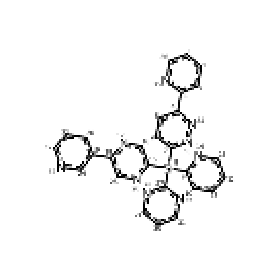 c1ccc(-c2ccc([Si](c3ccccn3)(c3cnc(-c4cccnc4)cn3)c3ncccn3)nn2)nc1